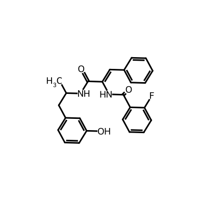 CC(Cc1cccc(O)c1)NC(=O)/C(=C/c1ccccc1)NC(=O)c1ccccc1F